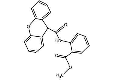 COC(=O)c1ccccc1NC(=O)C1c2ccccc2Oc2ccccc21